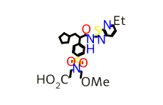 CCc1ccc2nc(NC(=O)C(CC3CCCC3)c3ccc(S(=O)(=O)N(CCOC)CCC(=O)O)cc3)sc2n1